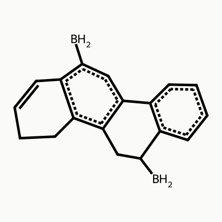 Bc1cc2c(c3c1C=CCC3)CC(B)c1ccccc1-2